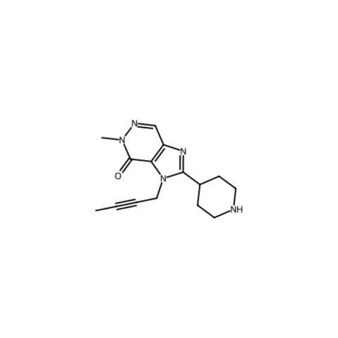 CC#CCn1c(C2CCNCC2)nc2cnn(C)c(=O)c21